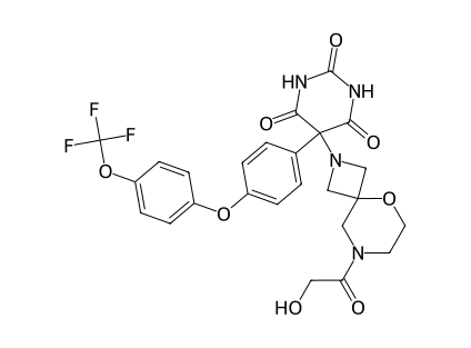 O=C1NC(=O)C(c2ccc(Oc3ccc(OC(F)(F)F)cc3)cc2)(N2CC3(CN(C(=O)CO)CCO3)C2)C(=O)N1